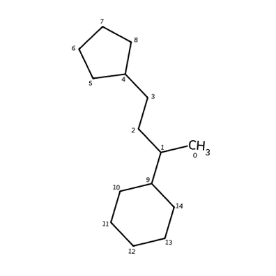 CC(CCC1CCCC1)C1CCCCC1